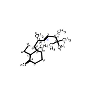 C[C@H](/C=C/[C@H](C)C(C)(C)O)[C@H]1CCC2C(=O)CCC[C@@]21C